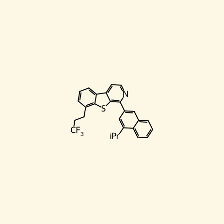 CC(C)c1cc(-c2nccc3c2sc2c(CCC(F)(F)F)cccc23)cc2ccccc12